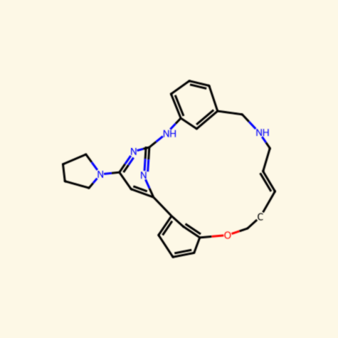 C1=C/CNCc2cccc(c2)Nc2nc(cc(N3CCCC3)n2)-c2cccc(c2)OCC/1